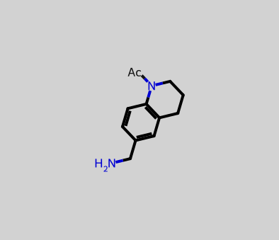 CC(=O)N1CCCc2cc(CN)ccc21